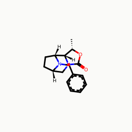 C[C@@H]1OC(=O)N2C[C@@H]3CC[C@H]([C@H]12)N3Cc1ccccc1